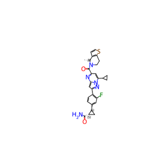 C[C@@H]1c2ccsc2CCN1C(=O)c1cc(C2CC2)n2nc(-c3ccc([C@H]4C[C@@H]4C(N)=O)cc3F)cc2n1